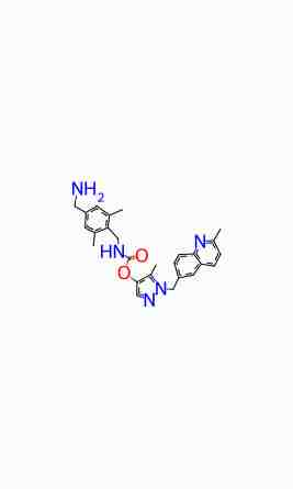 Cc1ccc2cc(Cn3ncc(OC(=O)NCc4c(C)cc(CN)cc4C)c3C)ccc2n1